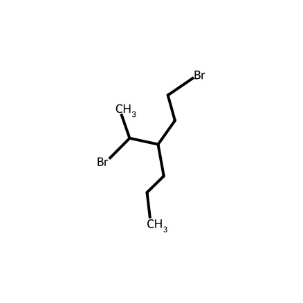 CCCC(CCBr)C(C)Br